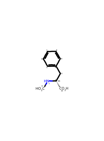 O=C(O)N[C@H](Cc1ccccc1)C(=O)O